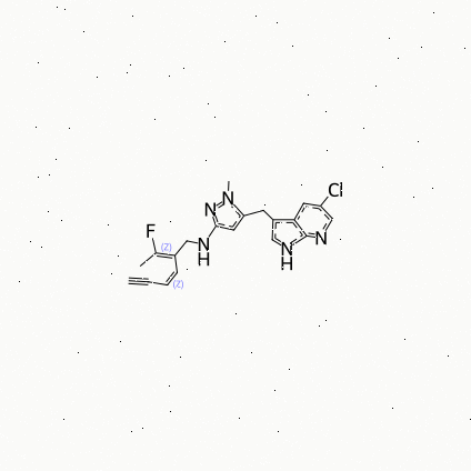 C#C/C=C\C(CNc1cc(Cc2c[nH]c3ncc(Cl)cc23)n(C)n1)=C(/C)F